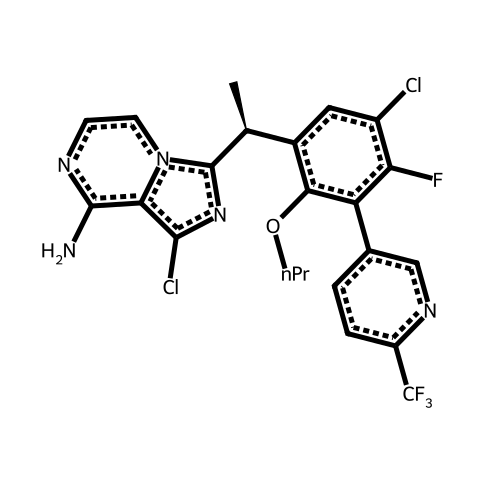 CCCOc1c([C@H](C)c2nc(Cl)c3c(N)nccn23)cc(Cl)c(F)c1-c1ccc(C(F)(F)F)nc1